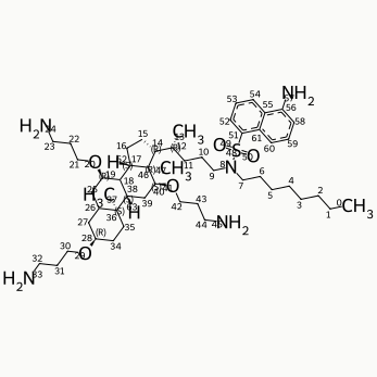 CCCCCCCCN(CCC[C@@H](C)[C@H]1CC[C@H]2C3[C@H](OCCCN)CC4C[C@H](OCCCN)CC[C@]4(C)[C@H]3C[C@H](OCCCN)[C@]12C)S(=O)(=O)c1cccc2c(N)cccc12